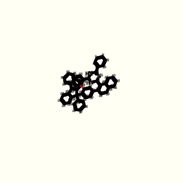 c1ccc(C2=NC(c3c(-c4ccc(C5(c6ccccc6)c6ccccc6-c6c5ccc5ccccc65)cc4)ccc4ccccc34)NC(c3ccccc3)N2)cc1